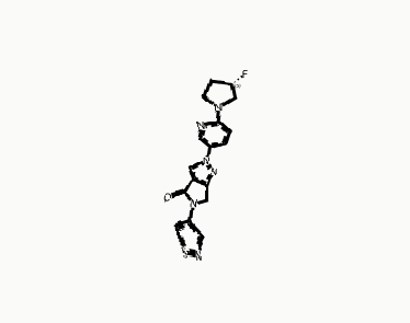 O=C1c2cn(-c3ccc(N4CC[C@H](F)C4)nc3)nc2CN1c1cnsc1